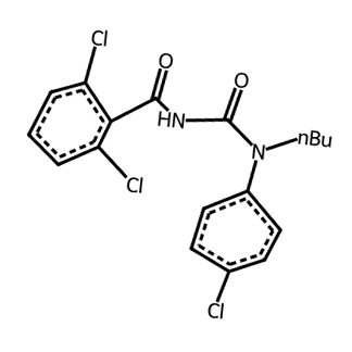 CCCCN(C(=O)NC(=O)c1c(Cl)cccc1Cl)c1ccc(Cl)cc1